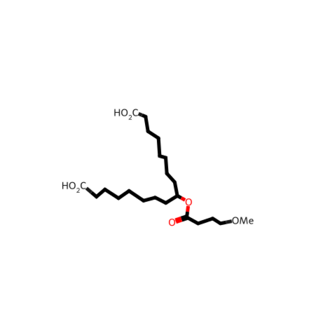 COCCCC(=O)OC(CCCCCCCC(=O)O)CCCCCCCC(=O)O